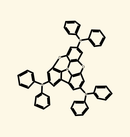 c1ccc(N(c2ccccc2)c2cc3c4c(c2)Oc2cc(N(c5ccccc5)c5ccccc5)cc5c6cc(N(c7ccccc7)c7ccccc7)cc(c6n-4c25)O3)cc1